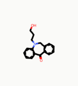 O=C1c2ccccc2CN(CCCO)c2ccccc21